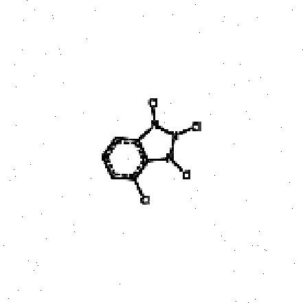 Clc1cccc2c1N(Cl)N(Cl)N2Cl